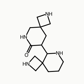 O=C1NCC2(CNC2)CC1C1NCCCC12CNC2